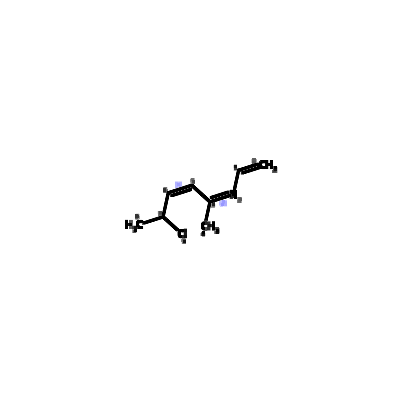 C=C/N=C(C)\C=C/C(C)Cl